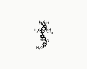 C=N/C=C(\C=N/CCc1c(CNC)sc(NC)c1C#N)c1ccc2c(c1)CC(C(=O)N1CCC(CC)CC1)N2